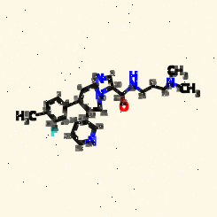 Cc1ccc(-c2cc3ncc(C(=O)NCCCN(C)C)n3cc2-c2cccnc2)cc1F